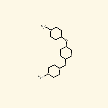 CN1CCC(OC2CCC(CN3CCN(C)CC3)CC2)CC1